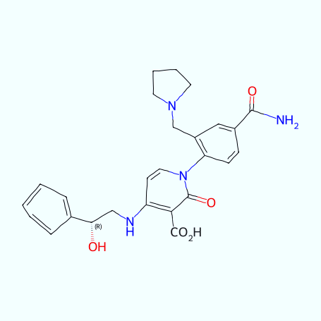 NC(=O)c1ccc(-n2ccc(NC[C@H](O)c3ccccc3)c(C(=O)O)c2=O)c(CN2CCCC2)c1